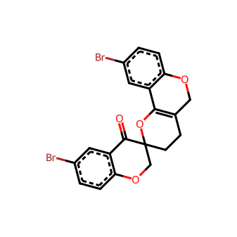 O=C1c2cc(Br)ccc2OCC12CCC1=C(O2)c2cc(Br)ccc2OC1